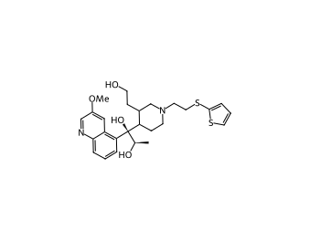 COc1cnc2cccc([C@](O)(C3CCN(CCSc4cccs4)CC3CCO)[C@@H](C)O)c2c1